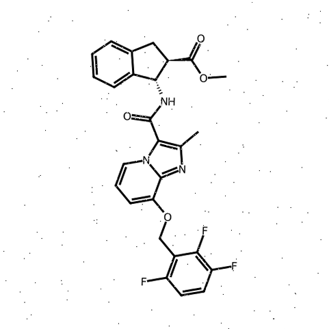 COC(=O)[C@@H]1Cc2ccccc2[C@H]1NC(=O)c1c(C)nc2c(OCc3c(F)ccc(F)c3F)cccn12